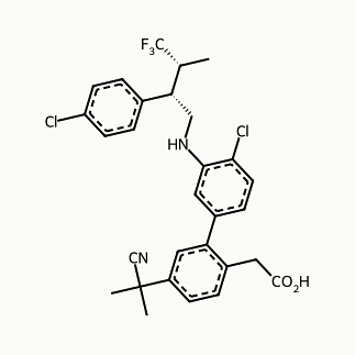 C[C@H]([C@H](CNc1cc(-c2cc(C(C)(C)C#N)ccc2CC(=O)O)ccc1Cl)c1ccc(Cl)cc1)C(F)(F)F